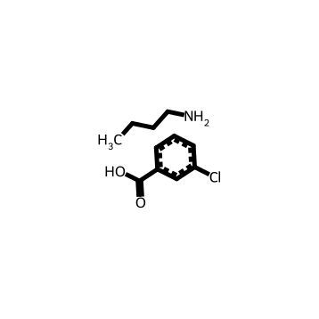 CCCCN.O=C(O)c1cccc(Cl)c1